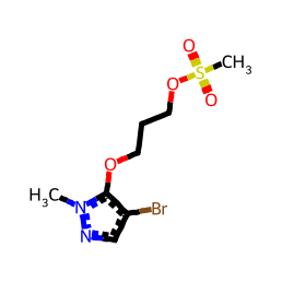 Cn1ncc(Br)c1OCCCOS(C)(=O)=O